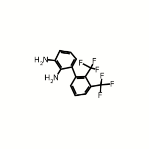 Nc1cccc(-c2cccc(C(F)(F)F)c2C(F)(F)F)c1N